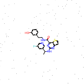 CC(Nc1nc(C(=O)NCCc2cccc(O)c2)c2sccc2n1)c1cncc(F)c1